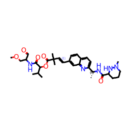 COCC(C=O)NC(=O)C(OC(=O)C(C)(C)/C=C/c1ccc2ccc([C@@H](C)NC(=O)C3CCCN(C)N3)nc2c1)C(C)C